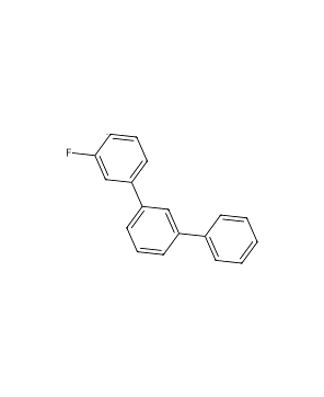 Fc1[c]ccc(-c2cccc(-c3ccccc3)c2)c1